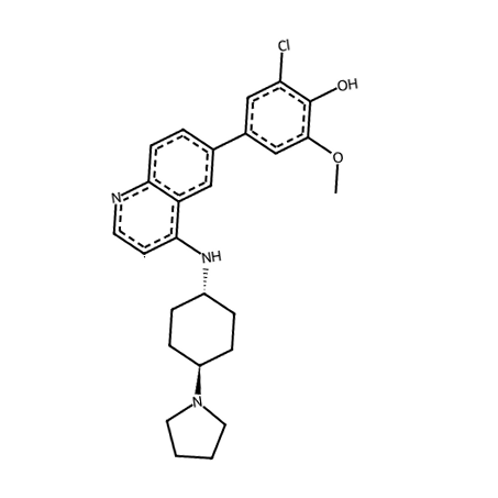 COc1cc(-c2ccc3nc[c]c(N[C@H]4CC[C@H](N5CCCC5)CC4)c3c2)cc(Cl)c1O